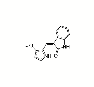 COc1cc[nH]c1C=C1C(=O)Nc2ccccc21